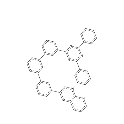 c1ccc(-c2nc(-c3ccccc3)nc(-c3cccc(-c4cccc(-c5cccc(-c6cnc7ncccc7c6)c5)c4)c3)n2)cc1